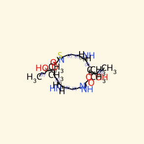 C/C=C/[C@H](O)C(C)(C)[C@@H]1C/C=C\[C@H]2N[C@H]2/C=C/C=C\c2nc(cs2)C(=O)O[C@H](C(C)(C)[C@@H](O)/C=C/C)C/C=C\[C@H]2N[C@H]2/C=C/C=C\c2nc(c[nH]2)C(=O)O1